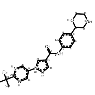 O=C(Nc1ccc(C2CNCCO2)cc1)c1cnn(-c2cnc(C(F)(F)F)nc2)c1